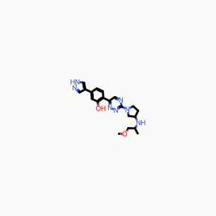 COCC(C)NC1CCN(c2ncc(-c3ccc(-c4cn[nH]c4)cc3O)nn2)C1